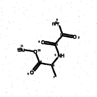 CCCC(=O)C(=O)NC(C)C(=O)OC(C)(C)C